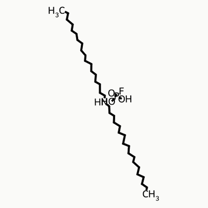 CCCCCCCCCCCCCCCCCCNCCCCCCCCCCCCCCCCCC.O=P(O)(O)F